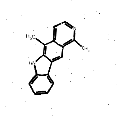 Cc1nccc2c(C)c3[nH]c4ccccc4c3cc12